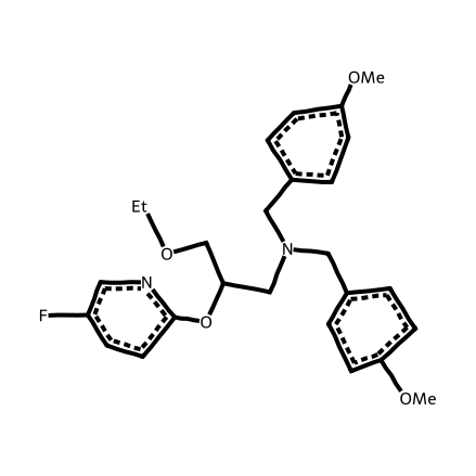 CCOCC(CN(Cc1ccc(OC)cc1)Cc1ccc(OC)cc1)Oc1ccc(F)cn1